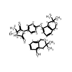 CC1(C)Cc2c(O)cccc2CO1.CC[C@@]1(C)NC(=O)N(c2cnc(Oc3cccc4c3CC(C)(C)OC4)nc2)C1=O